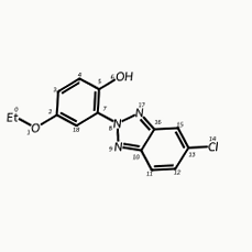 CCOc1c[c]c(O)c(-n2nc3ccc(Cl)cc3n2)c1